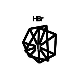 Br.[CH]12[CH]3[CH]4[CH]5[CH]1[Ti]23451678[CH]2[CH]1[CH]6[CH]7[CH]28